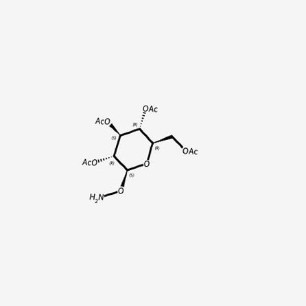 CC(=O)OC[C@H]1O[C@@H](ON)[C@H](OC(C)=O)[C@@H](OC(C)=O)[C@@H]1OC(C)=O